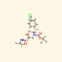 Cc1coc([C@H]2CN(C(=O)OC(C)(C)C)[C@@H](Cc3ccc(Cl)cc3)CO2)n1